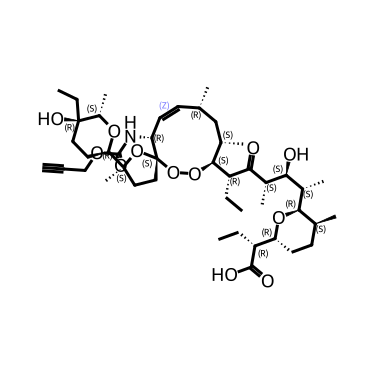 C#CCOC(=O)N[C@@H]1/C=C\[C@H](C)C[C@H](C)[C@@H]([C@@H](CC)C(=O)[C@@H](C)[C@@H](O)[C@H](C)[C@@H]2O[C@@H]([C@@H](CC)C(=O)O)CC[C@@H]2C)OO[C@@]12CC[C@@](C)([C@H]1CC[C@](O)(CC)[C@H](C)O1)O2